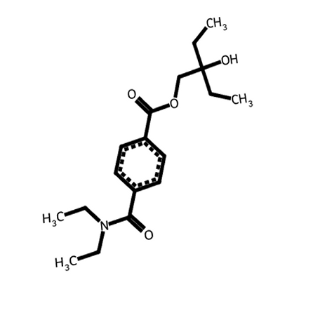 CCN(CC)C(=O)c1ccc(C(=O)OCC(O)(CC)CC)cc1